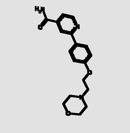 NC(=O)c1ccnc(-c2ccc(OCCN3CCOCC3)cc2)c1